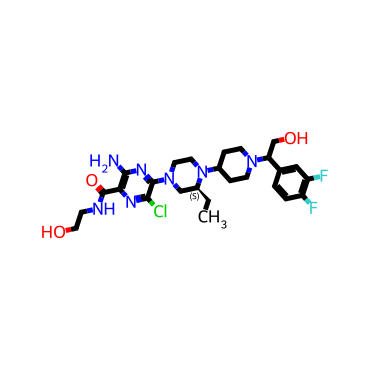 CC[C@H]1CN(c2nc(N)c(C(=O)NCCO)nc2Cl)CCN1C1CCN(C(CO)c2ccc(F)c(F)c2)CC1